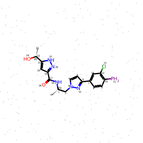 C[C@@H](Cn1ccc(-c2ccc(P)c(Cl)c2)n1)NC(=O)c1cc([C@@H](C)O)[nH]n1